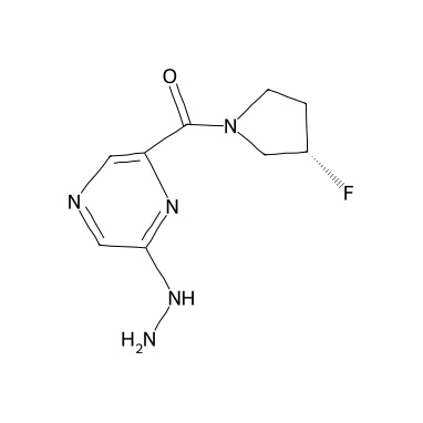 NNc1cncc(C(=O)N2CC[C@H](F)C2)n1